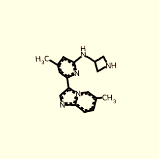 Cc1cc(NC2CNC2)nc(-c2cnc3ccc(C)cn23)c1